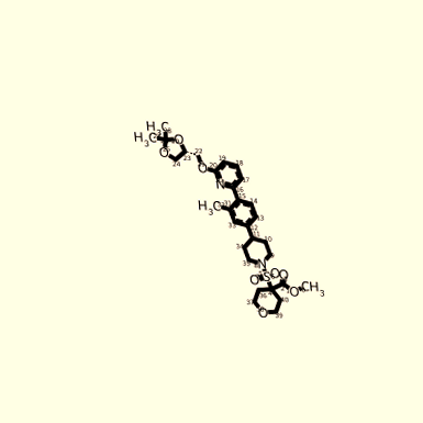 COC(=O)C1(S(=O)(=O)N2CCC(c3ccc(-c4cccc(OC[C@@H]5COC(C)(C)O5)n4)c(C)c3)CC2)CCOCC1